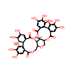 O=C1OC2C(COC(=O)c3cc(O)c(O)c(O)c3C3C1=CC(O)=C(O)C3O)OCC1OC(=O)c3cc(O)c(O)c(O)c3-c3c(cc(O)c(O)c3O)C(=O)O[C@H]12